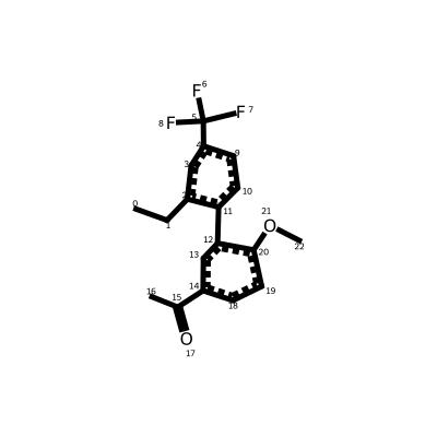 CCc1cc(C(F)(F)F)ccc1-c1cc(C(C)=O)ccc1OC